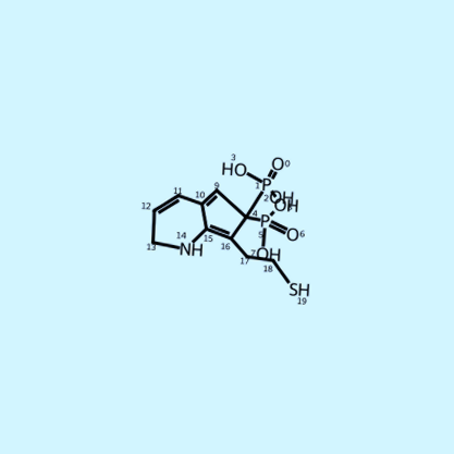 O=P(O)(O)C1(P(=O)(O)O)C=C2C=CCNC2=C1CCS